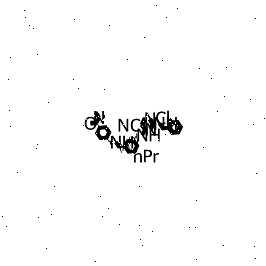 CCCC1C[C@@H](CNC[C@H]2CC[C@@H](C(=O)N(C)C)CC2)C[C@H](CNc2nc(NCc3ccccc3Cl)ncc2C#N)C1